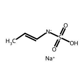 CC=C[N-]S(=O)(=O)O.[Na+]